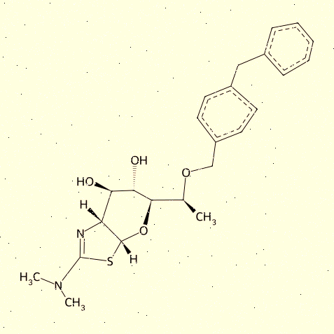 C[C@H](OCc1ccc(Cc2ccccc2)cc1)[C@H]1O[C@@H]2SC(N(C)C)=N[C@@H]2[C@@H](O)[C@@H]1O